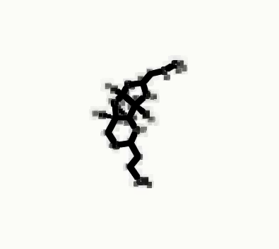 CCCC1OC[C@H]2O[C@@H]3OC(CCC)O[C@@H]3[C@H]2O1